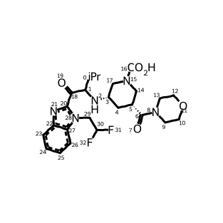 CC(C)C(N[C@H]1C[C@@H](C(=O)N2CCOCC2)CN(C(=O)O)C1)C(=O)c1nc2ccccc2n1CC(F)F